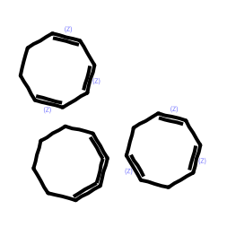 C1=C=CCCCCC=1.C1=C\C/C=C\C\C=C/1.C1=C\C=C/CC\C=C/1